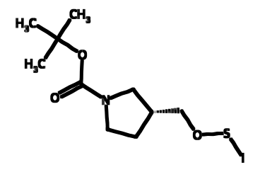 CC(C)(C)OC(=O)N1CC[C@@H](COSI)C1